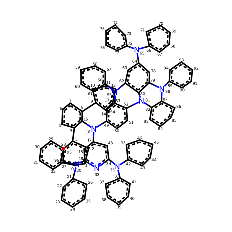 c1ccc(-c2cccc(-c3ccccc3)c2N(c2cc(N(c3ccccc3)c3ccccc3)nc(N(c3ccccc3)c3ccccc3)c2)c2ccc3c(c2)N(c2ccccc2)c2cc(N(c4ccccc4)c4ccccc4)cc4c2N3c2ccccc2N4c2ccccc2)cc1